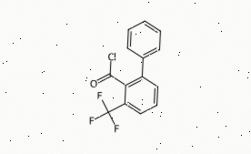 O=C(Cl)c1c(-c2ccccc2)cccc1C(F)(F)F